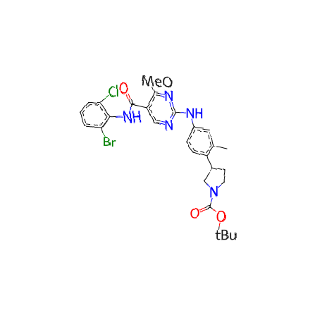 COc1nc(Nc2ccc(C3CCN(C(=O)OC(C)(C)C)C3)c(C)c2)ncc1C(=O)Nc1c(Cl)cccc1Br